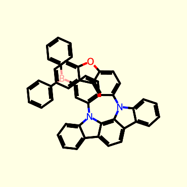 c1ccc(B(c2ccccc2)c2cccc(-n3c4ccccc4c4ccc5c6ccccc6n(-c6ccc7oc8ccccc8c7c6)c5c43)c2)cc1